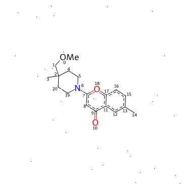 COCC1(C)CCN(c2cc(=O)c3cc(C)ccc3o2)CC1